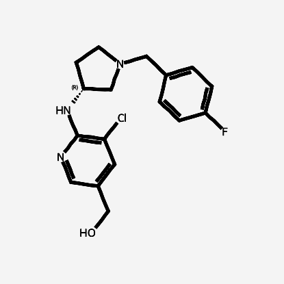 OCc1cnc(N[C@@H]2CCN(Cc3ccc(F)cc3)C2)c(Cl)c1